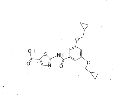 O=C(Nc1ncc(C(=O)O)s1)c1cc(OCC2CC2)cc(OCC2CC2)c1